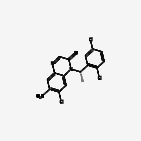 C[C@@H](c1cc(Cl)ccc1Cl)n1c(=O)cnc2cc([N+](=O)[O-])c(Cl)cc21